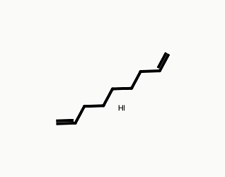 C=CCCCCCC=C.I